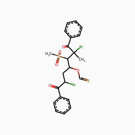 CC(Br)(C(=O)c1ccccc1)C(C(CC(Br)C(=O)c1ccccc1)OC=S)S(C)(=O)=O